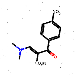 CCOC(=O)C(=CN(C)C)C(=O)c1ccc([N+](=O)[O-])cc1